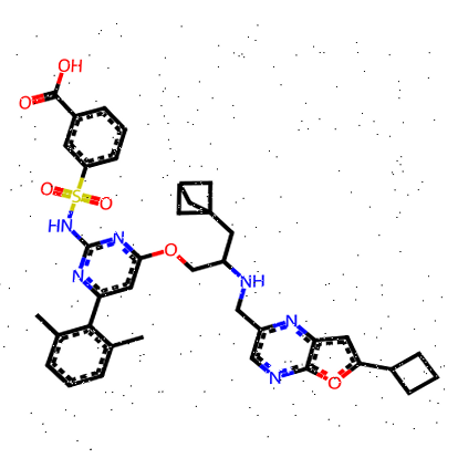 Cc1cccc(C)c1-c1cc(OCC(CC23CC(C2)C3)NCc2cnc3oc(C4CCC4)cc3n2)nc(NS(=O)(=O)c2cccc(C(=O)O)c2)n1